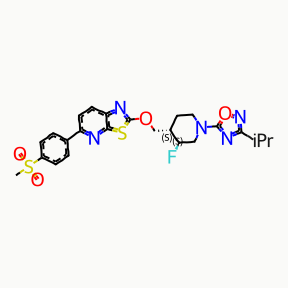 CC(C)c1noc(N2CC[C@@H](COc3nc4ccc(-c5ccc(S(C)(=O)=O)cc5)nc4s3)[C@H](F)C2)n1